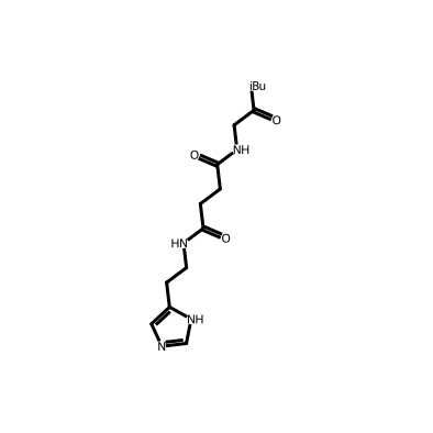 CCC(C)C(=O)CNC(=O)CCC(=O)NCCc1cnc[nH]1